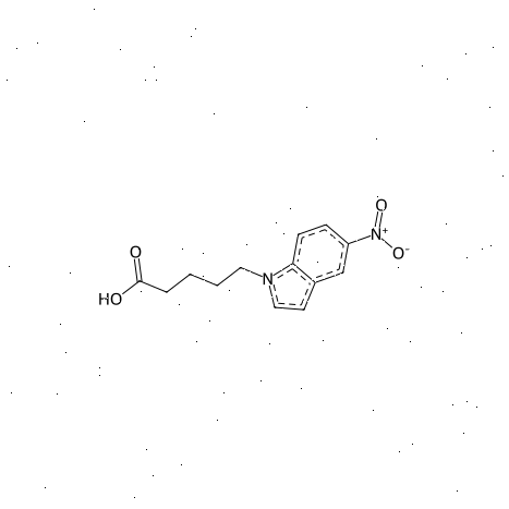 O=C(O)CCCCn1ccc2cc([N+](=O)[O-])ccc21